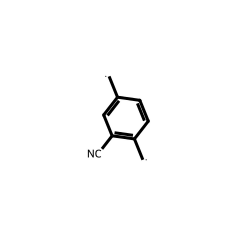 [CH2]c1ccc([CH2])c(C#N)c1